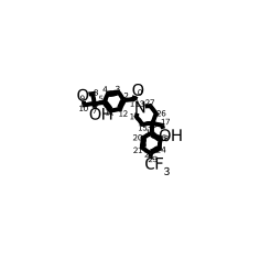 O=C(c1ccc(C2(O)COC2)cc1)N1CCC(CO)(c2ccc(C(F)(F)F)cc2)CC1